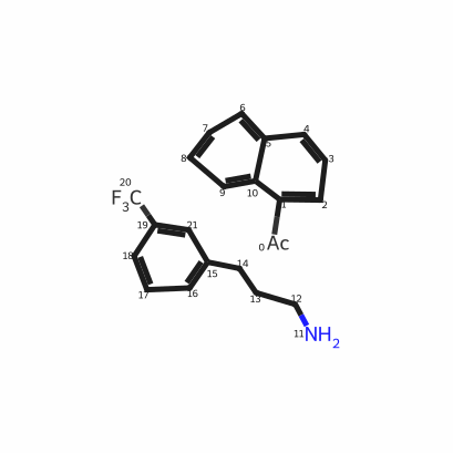 CC(=O)c1cccc2ccccc12.NCCCc1cccc(C(F)(F)F)c1